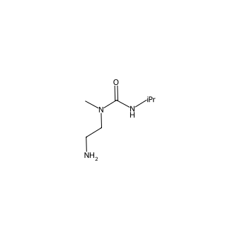 CC(C)NC(=O)N(C)CCN